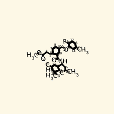 COC(=O)CCc1ccc(COc2cc(C)ccc2F)cc1C(=O)NC(CC(C)C)c1cc(C)cc(C)c1